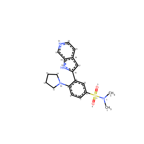 CN(C)S(=O)(=O)c1ccc(N2CCCC2)c(-c2cc3ccncc3[nH]2)c1